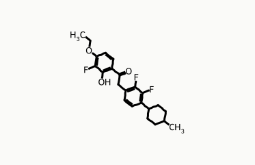 CCOc1ccc(C(=O)Cc2ccc(C3CCC(C)CC3)c(F)c2F)c(O)c1F